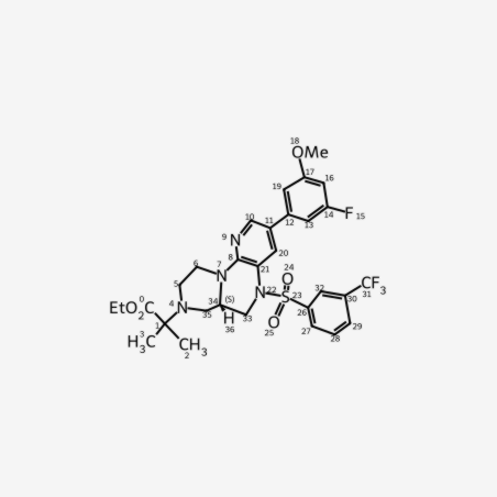 CCOC(=O)C(C)(C)N1CCN2c3ncc(-c4cc(F)cc(OC)c4)cc3N(S(=O)(=O)c3cccc(C(F)(F)F)c3)C[C@@H]2C1